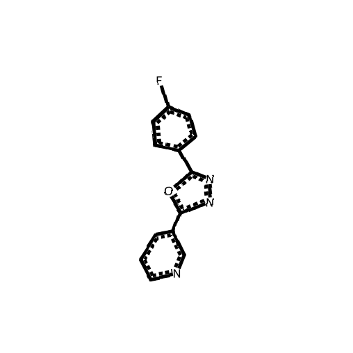 Fc1ccc(-c2nnc(-c3cccnc3)o2)cc1